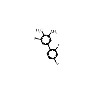 Cc1cc(-c2ccc(Br)cc2F)cc(F)c1C